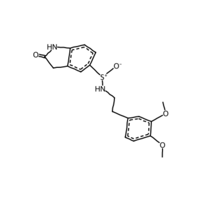 COc1ccc(CCN[S+]([O-])c2ccc3c(c2)CC(=O)N3)cc1OC